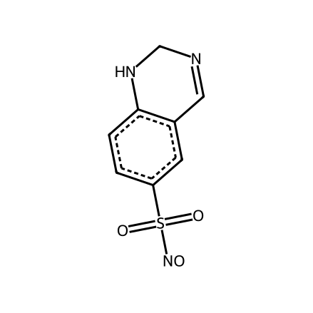 O=NS(=O)(=O)c1ccc2c(c1)C=NCN2